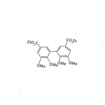 CCOC(=O)c1cc(OC)c(OC)c(-c2cc(C(=O)OCC)cc(OC)c2OC)c1